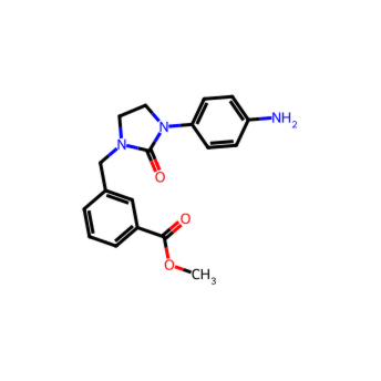 COC(=O)c1cccc(CN2CCN(c3ccc(N)cc3)C2=O)c1